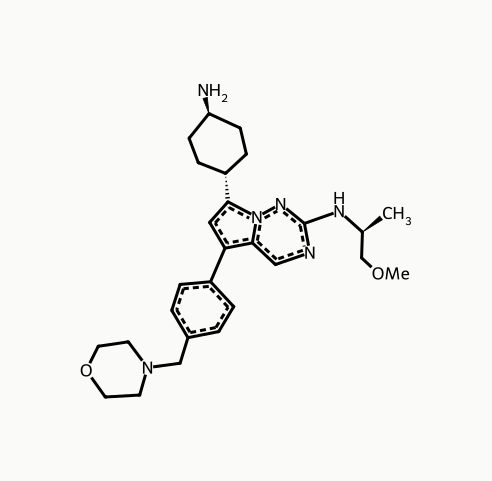 COC[C@H](C)Nc1ncc2c(-c3ccc(CN4CCOCC4)cc3)cc([C@H]3CC[C@H](N)CC3)n2n1